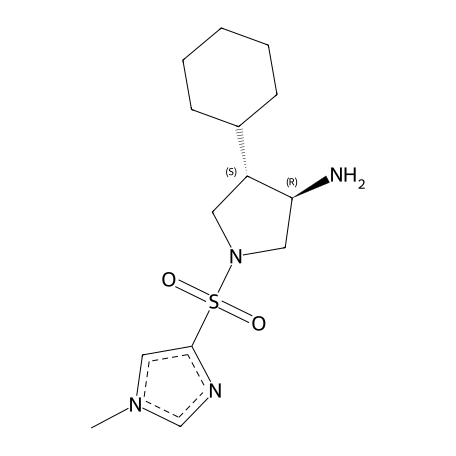 Cn1cnc(S(=O)(=O)N2C[C@H](C3CCCCC3)[C@@H](N)C2)c1